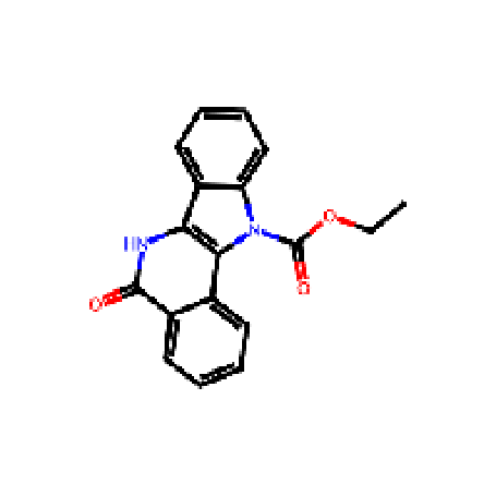 CCOC(=O)n1c2ccccc2c2[nH]c(=O)c3ccccc3c21